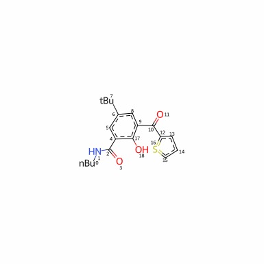 CCCCNC(=O)c1cc(C(C)(C)C)cc(C(=O)c2cccs2)c1O